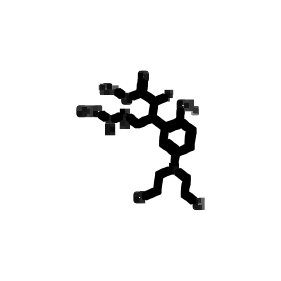 Cc1ccc(N(CCCl)CCCl)cc1C(CNBC=O)C(F)C(=O)OC(C)(C)C